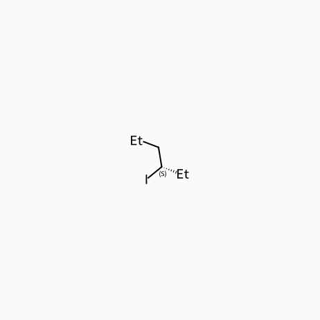 CCC[C@@H](I)CC